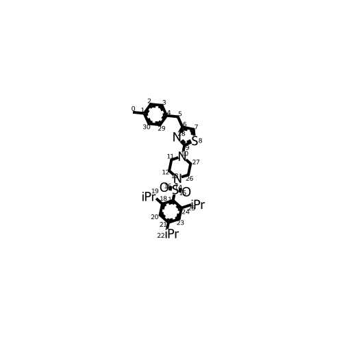 Cc1ccc(Cc2csc(N3CCN(S(=O)(=O)c4c(C(C)C)cc(C(C)C)cc4C(C)C)CC3)n2)cc1